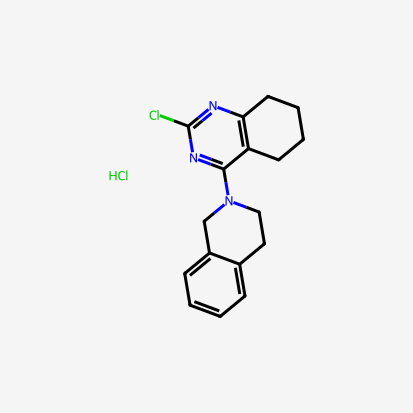 Cl.Clc1nc2c(c(N3CCc4ccccc4C3)n1)CCCC2